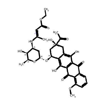 CCOC(=O)/C=C(\C)N[C@H]1C[C@H](O[C@H]2C[C@](O)(C(C)=O)Cc3c(O)c4c(c(O)c32)C(=O)c2c(OC)cccc2C4=O)O[C@@H](C)[C@H]1O